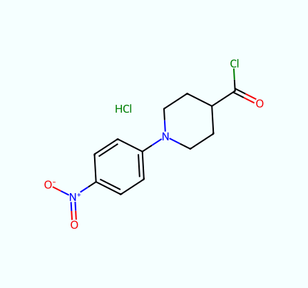 Cl.O=C(Cl)C1CCN(c2ccc([N+](=O)[O-])cc2)CC1